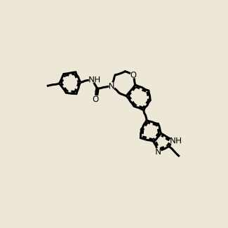 Cc1ccc(NC(=O)N2CCOc3ccc(-c4ccc5nc(C)[nH]c5c4)cc3C2)cc1